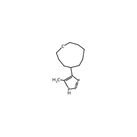 Cc1[pH]ppc1C1CCCCCCCCC1